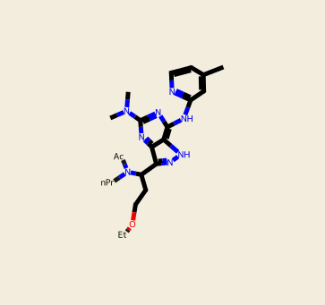 CCCN(C(C)=O)C(CCOCC)c1n[nH]c2c(Nc3cc(C)ccn3)nc(N(C)C)nc12